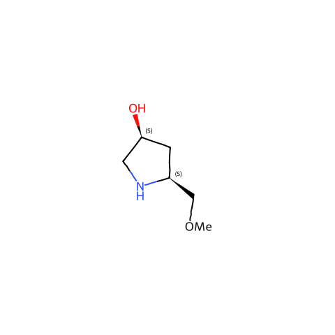 COC[C@@H]1C[C@H](O)CN1